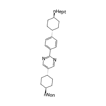 CCCCCCCCC[C@H]1CC[C@H](c2cnc(-c3ccc([C@H]4CC[C@H](CCCCCCC)CC4)cc3)nc2)CC1